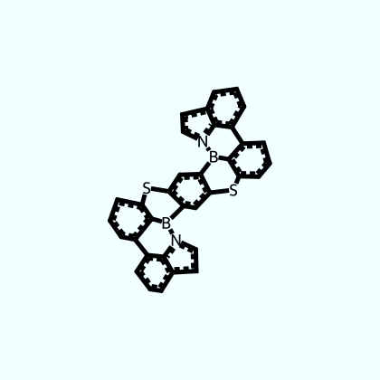 c1cc2c3c(c1)-c1cccc4ccn(c14)B3c1cc3c(cc1S2)B1c2c(cccc2-c2cccc4ccn1c24)S3